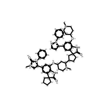 CN1CCC(Oc2cc(-c3ccnn3-c3ccccc3)cc3c2NC(=O)C32CCC(C3CC(Oc4cc(-c5cn(C)c(=O)n5-c5ccccc5)cc5c4NC(=O)C54CCCC4)CCN3C)C2)CC1